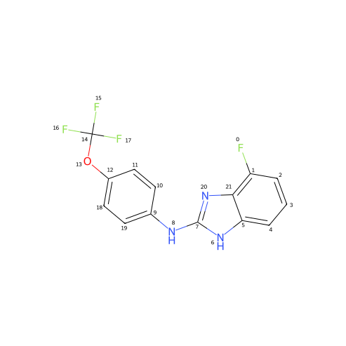 Fc1cccc2[nH]c(Nc3ccc(OC(F)(F)F)cc3)nc12